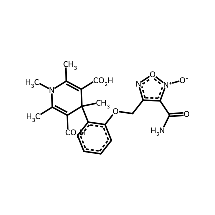 CC1=C(C(=O)O)C(C)(c2ccccc2OCc2no[n+]([O-])c2C(N)=O)C(C(=O)O)=C(C)N1C